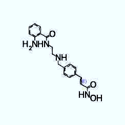 Nc1ccccc1C(=O)NCCNCc1ccc(/C=C/C(=O)NO)cc1